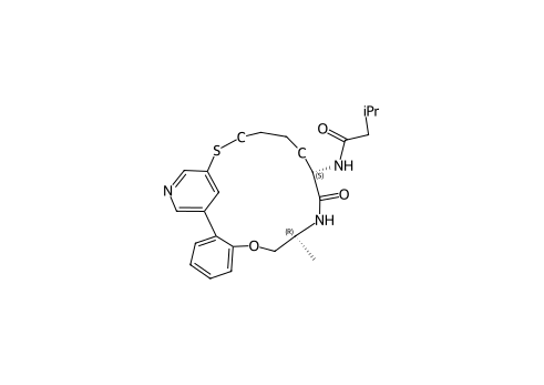 CC(C)CC(=O)N[C@H]1CCCCSc2cncc(c2)-c2ccccc2OC[C@@H](C)NC1=O